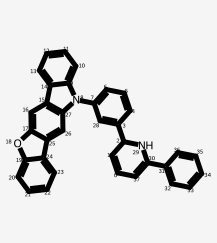 C1=CC(c2cccc(-n3c4ccccc4c4cc5oc6ccccc6c5cc43)c2)NC(c2ccccc2)=C1